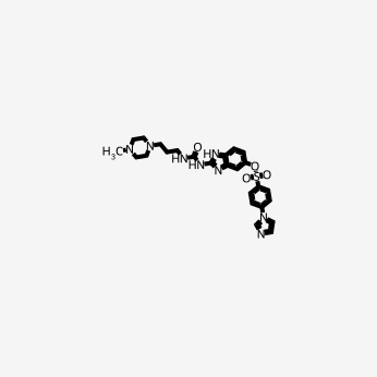 CN1CCN(CCCNC(=O)Nc2nc3cc(OS(=O)(=O)c4ccc(-n5ccnc5)cc4)ccc3[nH]2)CC1